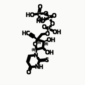 C#C[C@]1(COP(=O)(O)OP(=O)(O)OP(=O)(O)O)O[C@@H](n2ccc(=O)[nH]c2=S)C(O)[C@H]1O